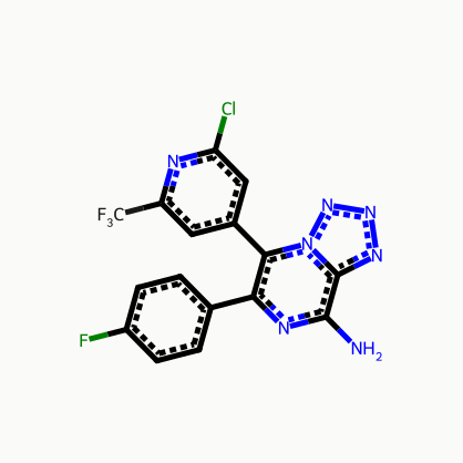 Nc1nc(-c2ccc(F)cc2)c(-c2cc(Cl)nc(C(F)(F)F)c2)n2nnnc12